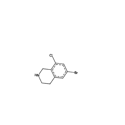 Clc1cc(Br)cc2c1CNCC2